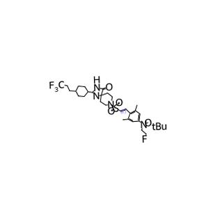 Cc1cc(N(CCF)OC(C)(C)C)cc(C)c1/C=C/S(=O)(=O)N1CCC2(CC1)N=C(C1CCC(CCC(F)(F)F)CC1)NC2=O